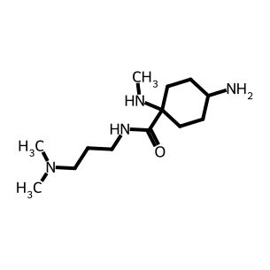 CNC1(C(=O)NCCCN(C)C)CCC(N)CC1